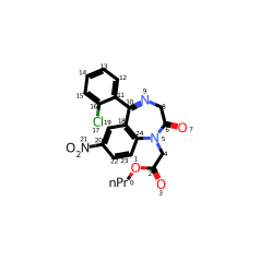 CCCOC(=O)CN1C(=O)CN=C(c2ccccc2Cl)c2cc([N+](=O)[O-])ccc21